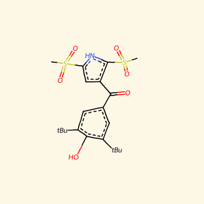 CC(C)(C)c1cc(C(=O)c2cc(S(C)(=O)=O)[nH]c2S(C)(=O)=O)cc(C(C)(C)C)c1O